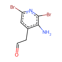 Nc1c(CC=O)cc(Br)nc1Br